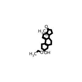 CCO[C@@]1(O)CCC2=C(CCC3C2=CC[C@]2(C)C(=O)CCC32)C1